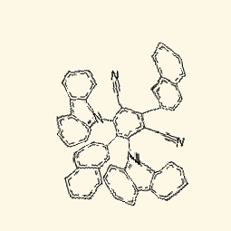 N#Cc1c(-c2ccc3ccccc3c2)c(C#N)c(-n2c3ccccc3c3ccccc32)c(-c2ccc3ccccc3c2)c1-n1c2ccccc2c2ccccc21